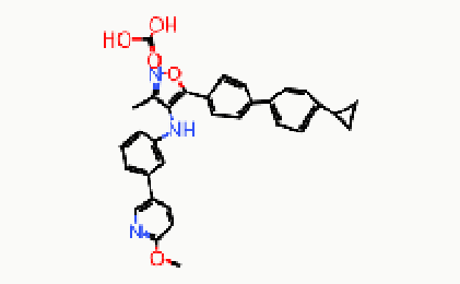 COc1ccc(-c2cccc(Nc3c(C)noc3-c3ccc(-c4ccc(C5CC5)cc4)cc3)c2)cn1.O=C(O)O